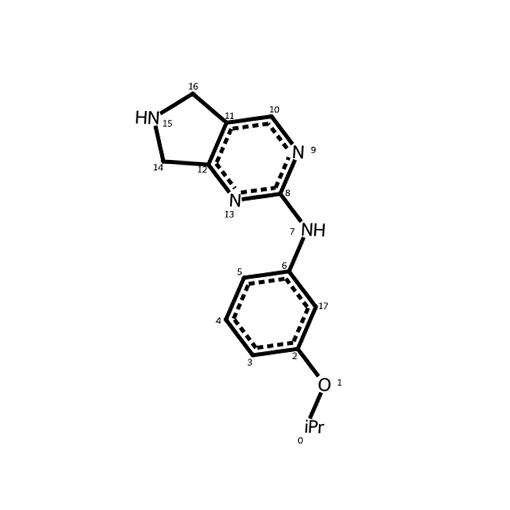 CC(C)Oc1cccc(Nc2ncc3c(n2)CNC3)c1